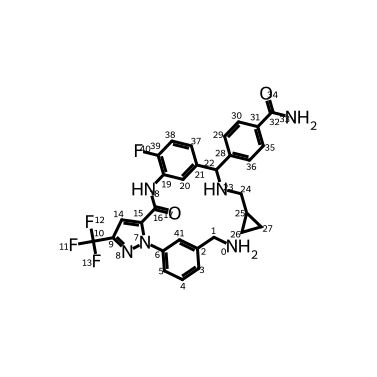 NCc1cccc(-n2nc(C(F)(F)F)cc2C(=O)Nc2cc(C(NCC3CC3)c3ccc(C(N)=O)cc3)ccc2F)c1